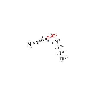 [Al-3].[Al-3].[Ni+2].[Ni+2].[Ni+2].[Ni+2].[Ni+2].[O-2].[O-2]